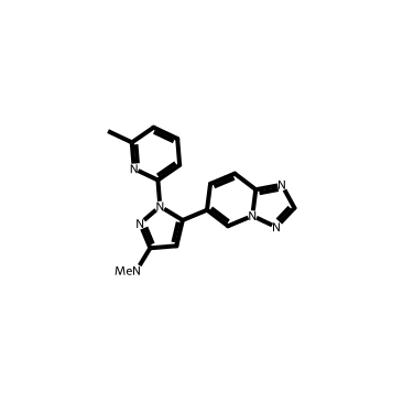 CNc1cc(-c2ccc3ncnn3c2)n(-c2cccc(C)n2)n1